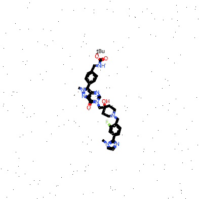 Cn1ccnc1-c1ccc(CN2CCC(O)(Cn3cnc4c(-c5ccc(CNC(=O)OC(C)(C)C)cc5)n(C)nc4c3=O)CC2)c(F)c1